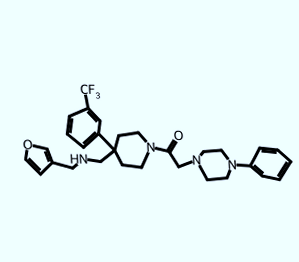 O=C(CN1CCN(c2ccccc2)CC1)N1CCC(CNCc2ccoc2)(c2cccc(C(F)(F)F)c2)CC1